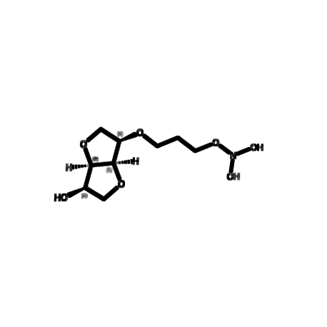 O[C@@H]1CO[C@H]2[C@@H]1OC[C@H]2OCCCON(O)O